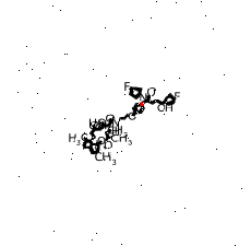 CCC(C)C(=O)OC1CC(C)C=C2C=CC(C)C(CCC(O)CC(O)CC(=O)NCCCOc3ccc(C4C(CCC(O)c5ccc(F)cc5)C(=O)N4c4ccc(F)cc4)cc3)C21